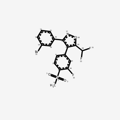 CS(=O)(=O)c1ccc(-c2c(-c3cccc(Br)c3)noc2C(F)F)cc1F